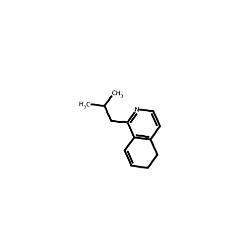 CC(C)Cc1nccc2c1C=CCC2